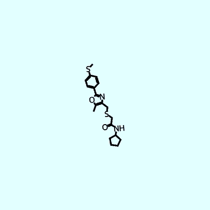 CSc1ccc(-c2nc(CSCC(=O)NC3CCCC3)c(C)o2)cc1